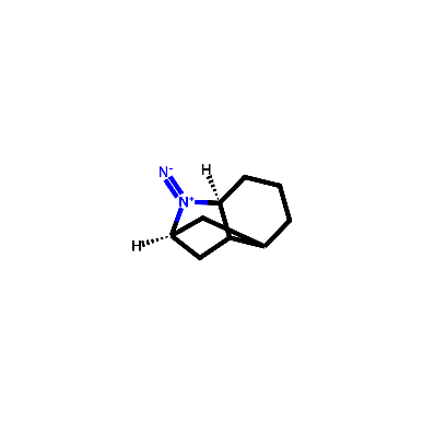 [N-]=[N+]1[C@H]2CC3CCC[C@H]1C3C2